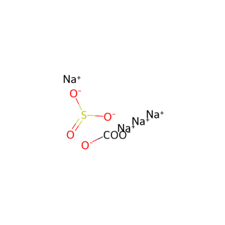 O=C([O-])[O-].O=S([O-])[O-].[Na+].[Na+].[Na+].[Na+]